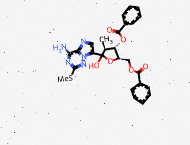 CSc1nc(N)c2ncc(C3(O)O[C@H](COC(=O)c4ccccc4)[C@@H](OC(=O)c4ccccc4)[C@@H]3C)n2n1